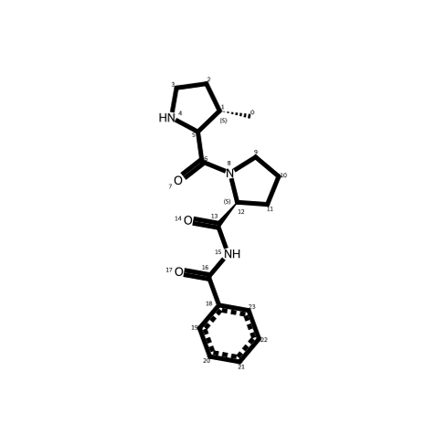 C[C@H]1CCNC1C(=O)N1CCC[C@H]1C(=O)NC(=O)c1ccccc1